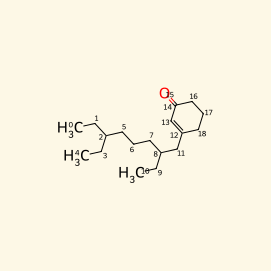 CCC(CC)CCCC(CC)CC1=CC(=O)CCC1